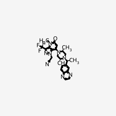 C[C@@H]1CN(c2cc(=O)n(C)c3c(C(F)(F)F)nn(CC#N)c23)[C@@H](C)CN1[C@@H](C)c1ccc2nccnc2c1